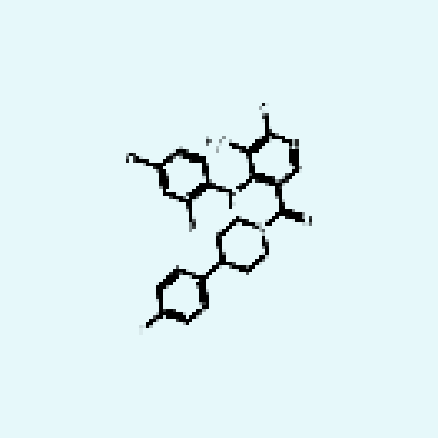 Cc1c(Cl)ncc(C(=O)N2CCC(c3ccc(F)cc3)CC2)c1Nc1ccc(Cl)cc1F